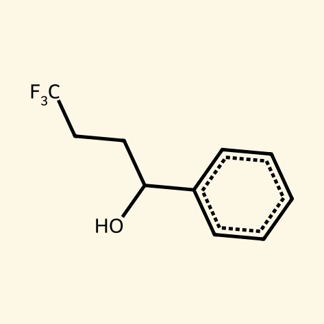 OC(CCC(F)(F)F)c1ccccc1